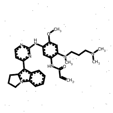 C=CC(=O)Nc1cc(Nc2nccc(-c3c4n(c5ccccc35)CCC4)n2)c(OC)cc1N(C)CCCN(C)C